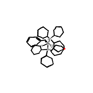 [Cl][Ru]([Cl])(=[CH]c1ccccc1)([PH](C1CCCCC1)(C1CCCCC1)C1CCCCC1)[PH](C1CCCCC1)(C1CCCCC1)C1CCCCC1